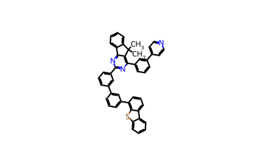 CC1(C)c2ccccc2-c2nc(-c3cccc(-c4cccc(-c5cccc6c5sc5ccccc56)c4)c3)nc(-c3cccc(-c4ccncc4)c3)c21